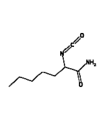 CCCCCC(N=C=O)C(N)=O